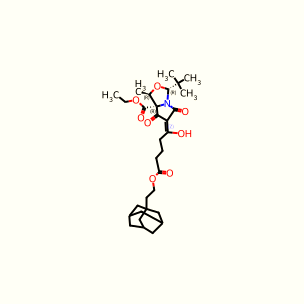 CCOC(=O)[C@@]12C(=O)/C(=C(/O)CCCC(=O)OCCC34CC5CC(CC(C5)C3)C4)C(=O)N1[C@@H](C(C)(C)C)O[C@@H]2C